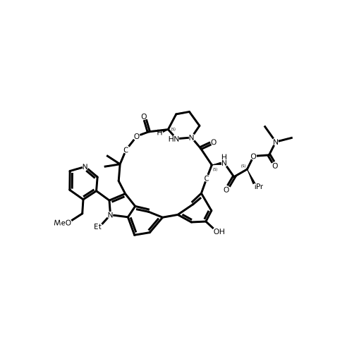 CCn1c(-c2cnccc2COC)c2c3cc(ccc31)-c1cc(O)cc(c1)C[C@H](NC(=O)[C@@H](OC(=O)N(C)C)C(C)C)C(=O)N1CCC[C@H](N1)C(=O)OCC(C)(C)C2